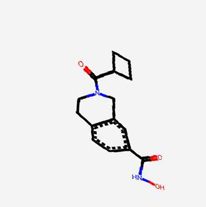 O=C(NO)c1ccc2c(c1)CN(C(=O)C1CCC1)CC2